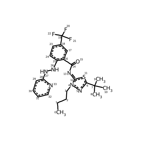 CCCCn1nc(C(C)(C)C)sc1=NC(=O)c1cc(C(F)(F)F)ccc1NNc1ccccn1